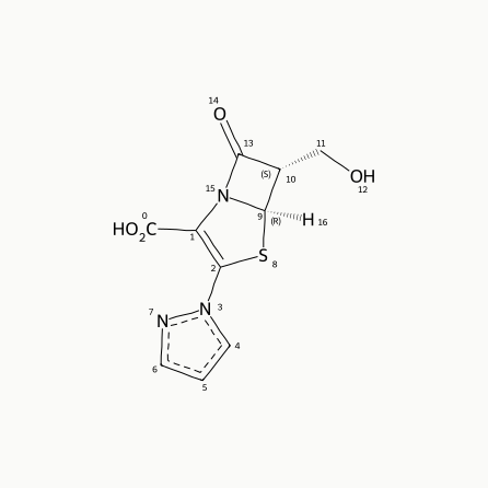 O=C(O)C1=C(n2cccn2)S[C@@H]2[C@@H](CO)C(=O)N12